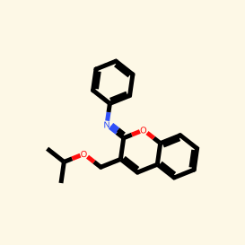 CC(C)OCc1cc2ccccc2oc1=Nc1ccccc1